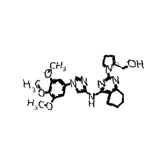 COc1cc(-n2cnc(Nc3nc(N4CCC[C@H]4CO)nc4c3CCCC4)c2)cc(OC)c1OC